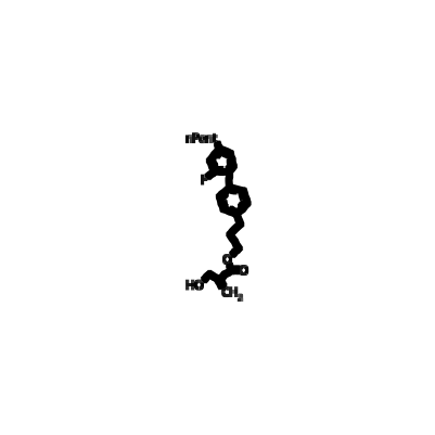 C=C(CO)C(=O)OCCCc1ccc(-c2ccc(CCCCC)cc2F)cc1